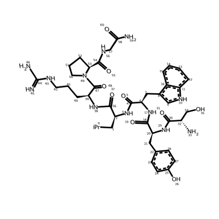 CC(C)C[C@H](NC(=O)[C@@H](Cc1c[nH]c2ccccc12)NC(=O)[C@H](Cc1ccc(O)cc1)NC(=O)[C@@H](N)CO)C(=O)N[C@@H](CCCNC(=N)N)C(=O)N1CCC[C@H]1C(=O)NCC(N)=O